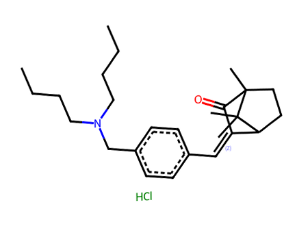 CCCCN(CCCC)Cc1ccc(/C=C2\C(=O)C3(C)CCC2C3(C)C)cc1.Cl